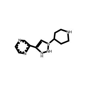 C1=C(c2cnccn2)NNN1C1CCNCC1